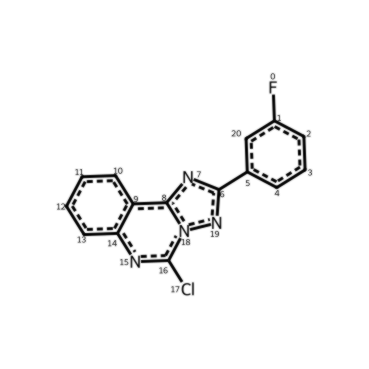 Fc1cccc(-c2nc3c4ccccc4nc(Cl)n3n2)c1